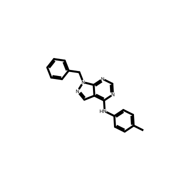 Cc1ccc(Nc2ncnc3c2cnn3Cc2ccccc2)cc1